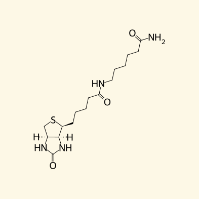 NC(=O)CCCCCNC(=O)CCCC[C@@H]1SC[C@@H]2NC(=O)N[C@@H]21